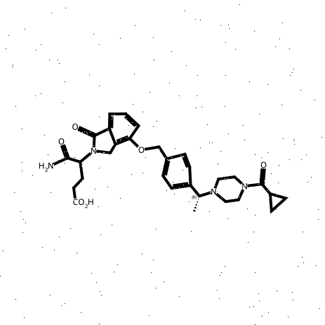 C[C@H](c1ccc(COc2cccc3c2CN(C(CCC(=O)O)C(N)=O)C3=O)cc1)N1CCN(C(=O)C2CC2)CC1